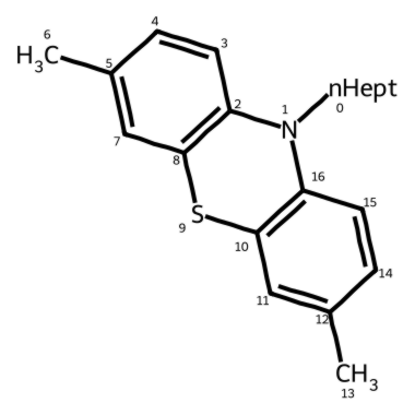 CCCCCCCN1c2ccc(C)cc2Sc2cc(C)ccc21